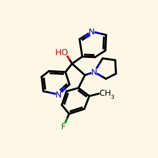 Cc1cc(F)ccc1C(N1CCCC1)C(O)(c1cccnc1)c1cccnc1